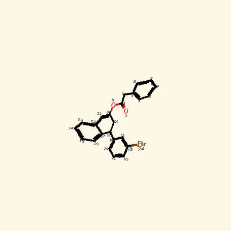 O=C(Cc1ccccc1)OC1=Cc2ccccc2C(c2cccc(Br)c2)C1